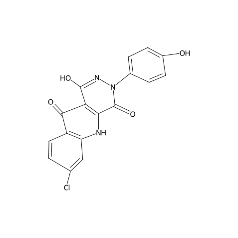 O=c1c2ccc(Cl)cc2[nH]c2c(=O)n(-c3ccc(O)cc3)nc(O)c12